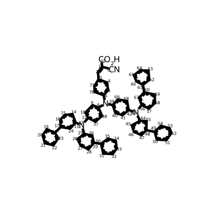 N#C/C(=C\c1ccc(N(c2ccc(N(c3cccc(-c4ccccc4)c3)c3cccc(-c4ccccc4)c3)cc2)c2ccc(N(c3cccc(-c4ccccc4)c3)c3cccc(-c4ccccc4)c3)cc2)cc1)C(=O)O